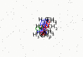 C=CCCC(NC(=O)[C@@H]1C2C(CN1C(=O)C(NC(=O)OC(C)(C)C)C(C)(C)C)C2(Cl)Cl)C(=C)C(=O)NCCC(=O)NC(C)(C)C